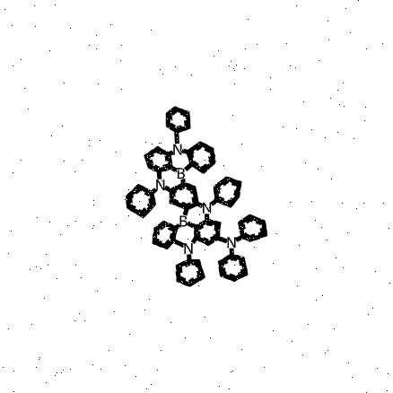 c1ccc(N(c2ccccc2)c2cc3c4c(c2)N(c2ccccc2)c2cc5c(cc2B4c2ccccc2N3c2ccccc2)N(c2ccccc2)c2cccc3c2B5c2ccccc2N3c2ccccc2)cc1